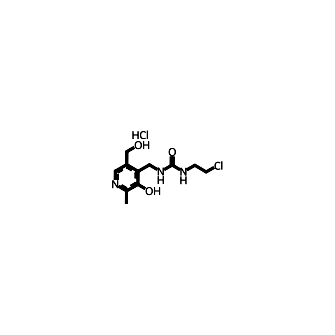 Cc1ncc(CO)c(CNC(=O)NCCCl)c1O.Cl